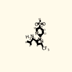 C=C(C)C(N)c1cc(C(F)(F)F)nn1-c1ccc(S(C)(=O)=O)cn1